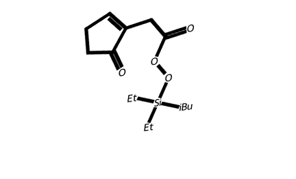 CCC(C)[Si](CC)(CC)OOC(=O)CC1=CCCC1=O